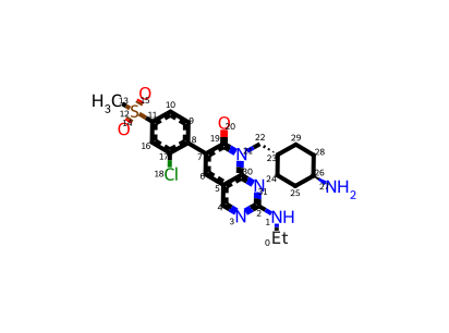 CCNc1ncc2cc(-c3ccc(S(C)(=O)=O)cc3Cl)c(=O)n(C[C@H]3CC[C@H](N)CC3)c2n1